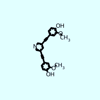 COc1cc(C#Cc2cncc(C#Cc3ccc(O)c(OC)c3)c2)ccc1O